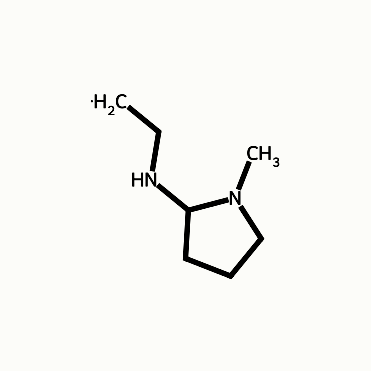 [CH2]CNC1CCCN1C